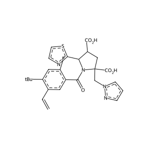 C=Cc1cc(C(=O)N2C(c3nccs3)C(C(=O)O)CC2(Cn2cccn2)C(=O)O)c(F)cc1C(C)(C)C